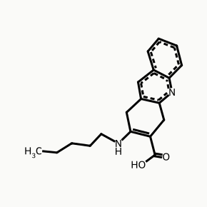 CCCCCNC1=C(C(=O)O)Cc2nc3ccccc3cc2C1